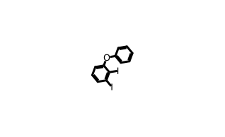 Ic1cccc(Oc2ccccc2)c1I